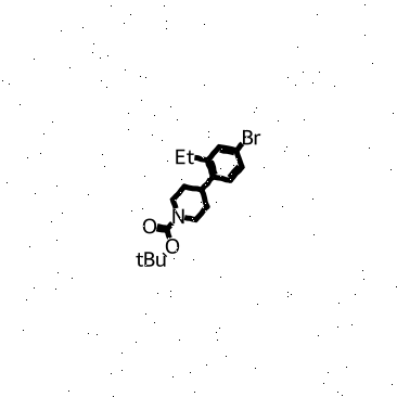 CCc1cc(Br)ccc1C1CCN(C(=O)OC(C)(C)C)CC1